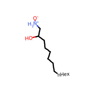 CCCCCCCCCCCCC(O)C[NH2+][O-]